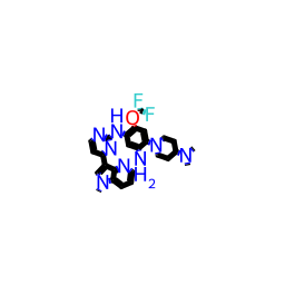 CN(C)C1CCN(c2cc(OC(F)F)c(Nc3nccc(-c4cn(C)c5cccnc45)n3)cc2N)CC1